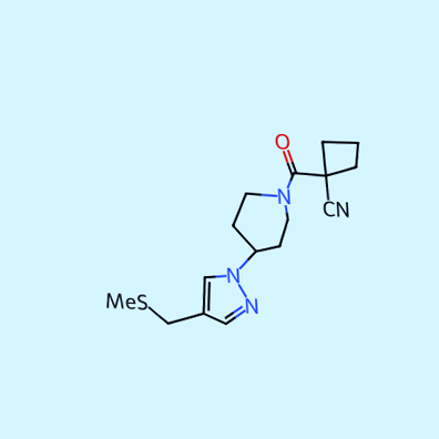 CSCc1cnn(C2CCN(C(=O)C3(C#N)CCC3)CC2)c1